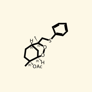 CC(=O)O[C@]1(C)CC[C@@H]2C[C@H]1OO[C@]2(C)CSc1ccccc1